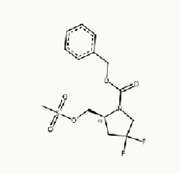 CS(=O)(=O)OC[C@@H]1CC(F)(F)CN1C(=O)OCc1ccccc1